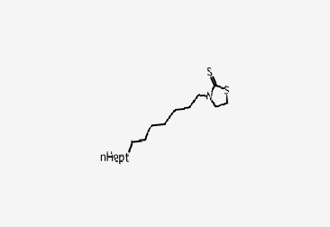 CCCCCCCCCCCCCCN1CCSC1=S